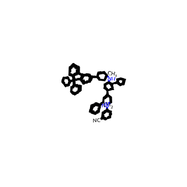 C=C(/C=C(\C=C/Nc1cccc(C#N)c1)c1ccc(NC2(C)C=CC(c3ccc4c(c3)-c3ccccc3C4(c3ccccc3)c3ccccc3)=CC2)c(-c2ccccc2)c1)c1ccccc1